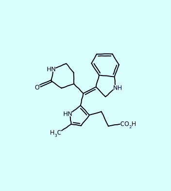 Cc1cc(CCC(=O)O)c(C(=C2CNc3ccccc32)C2CCNC(=O)C2)[nH]1